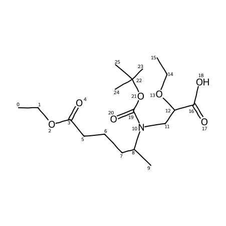 CCOC(=O)CCCC(C)N(CC(OCC)C(=O)O)C(=O)OC(C)(C)C